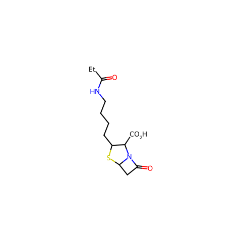 CCC(=O)NCCCCC1SC2CC(=O)N2C1C(=O)O